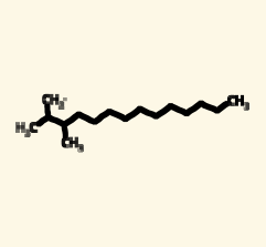 [CH2]C(C)C(C)CCCCCCCCCCC